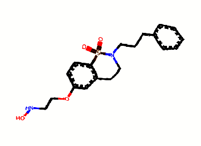 O=S1(=O)c2ccc(OCCNO)cc2CCN1CCCc1ccccc1